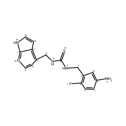 Nc1ccc(F)c(CNC(=S)NCc2ccnc3[nH]ccc23)c1